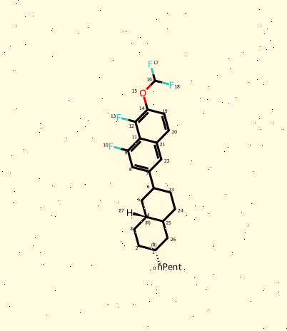 CCCCC[C@@H]1CC[C@@H]2CC(c3cc(F)c4c(F)c(OC(F)F)ccc4c3)CCC2C1